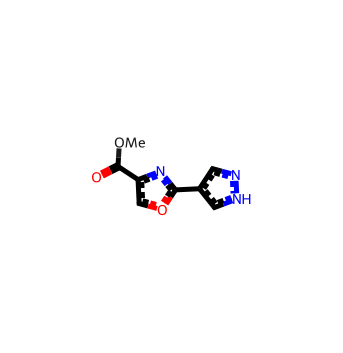 COC(=O)c1coc(-c2cn[nH]c2)n1